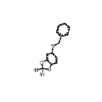 [2H]C1([2H])Oc2ccc(SCc3ccccc3)cc2O1